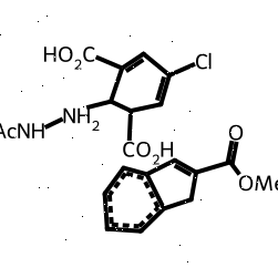 CC(=O)NN.CC1C(C(=O)O)=CC(Cl)=CC1C(=O)O.COC(=O)C1=Cc2ccccc2C1